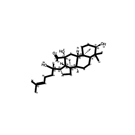 CC(=O)[C@@]1(O)C[C@@H]2[C@@]3(C)CC[C@@H](O)C(C)(C)C3CC[C@@]2(C)[C@@]2(C)CC[C@H]([C@@](C)(O)CCC=C(C)C)[C@H]21